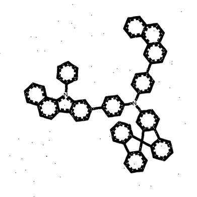 c1ccc(-n2c3cc(-c4ccc(N(c5ccc(-c6ccc7ccc8ccccc8c7c6)cc5)c5ccc6c(c5)C5(c7ccccc7-c7ccccc75)c5ccccc5-6)cc4)ccc3c3ccc4ccccc4c32)cc1